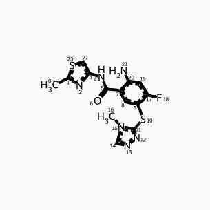 Cc1nc(NC(=O)c2cc(Sc3nncn3C)c(F)cc2N)cs1